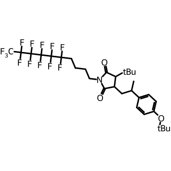 CC(CC1C(=O)N(CCCCC(F)(F)C(F)(F)C(F)(F)C(F)(F)C(F)(F)C(F)(F)F)C(=O)C1C(C)(C)C)c1ccc(OC(C)(C)C)cc1